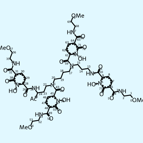 COCCNC(=O)c1ccc(C(=O)NCCCN(CCCCN(CCC(NC(=O)c2ccc(C(=O)NCCOC)c(=O)n2O)C(C)=O)C(=O)c2ccc(C(=O)NCCOC)c(=O)n2O)C(=O)c2ccc(C(=O)NCCOC)c(=O)n2O)n(O)c1=O